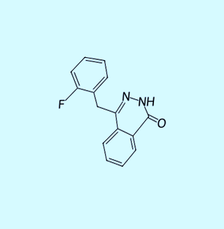 O=c1[nH]nc(Cc2ccccc2F)c2ccccc12